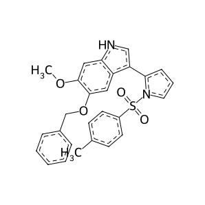 COc1cc2[nH]cc(-c3cccn3S(=O)(=O)c3ccc(C)cc3)c2cc1OCc1ccccc1